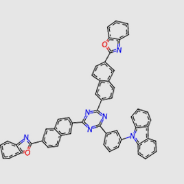 c1cc(-c2nc(-c3ccc4cc(-c5nc6ccccc6o5)ccc4c3)nc(-c3ccc4cc(-c5nc6ccccc6o5)ccc4c3)n2)cc(-n2c3ccccc3c3ccccc32)c1